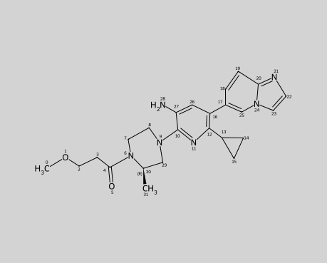 COCCC(=O)N1CCN(c2nc(C3CC3)c(-c3ccc4nccn4c3)cc2N)C[C@H]1C